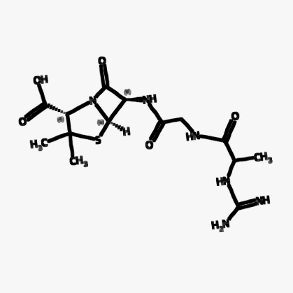 CC(NC(=N)N)C(=O)NCC(=O)N[C@@H]1C(=O)N2[C@@H]1SC(C)(C)[C@@H]2C(=O)O